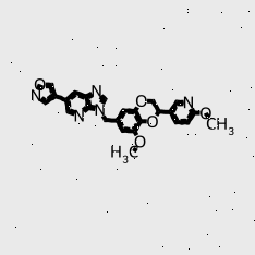 COc1ccc(C2COc3cc(Cn4cnc5cc(-c6cnoc6)cnc54)cc(OC)c3O2)cn1